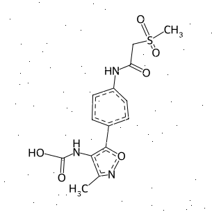 Cc1noc(-c2ccc(NC(=O)CS(C)(=O)=O)cc2)c1NC(=O)O